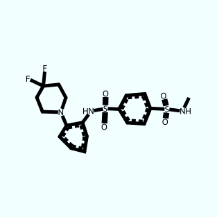 CNS(=O)(=O)c1ccc(S(=O)(=O)Nc2ccccc2N2CCC(F)(F)CC2)cc1